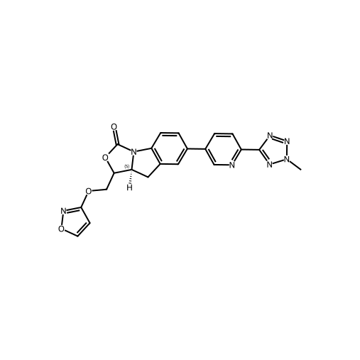 Cn1nnc(-c2ccc(-c3ccc4c(c3)C[C@H]3C(COc5ccon5)OC(=O)N43)cn2)n1